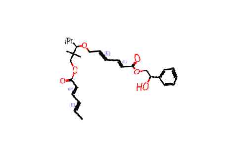 C/C=C/C=C/C(=O)OCC(C)(C)C(OC/C=C/C=C/C(=O)OCC(O)c1ccccc1)C(C)C